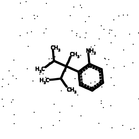 CC(C)C(C)(c1ccccc1N)C(C)C